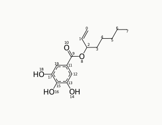 C=CC(CCCCC)OC(=O)c1cc(O)c(O)c(O)c1